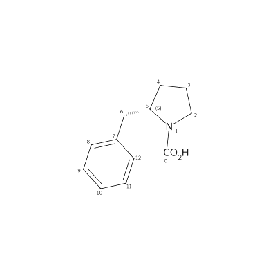 O=C(O)N1CCC[C@H]1Cc1ccccc1